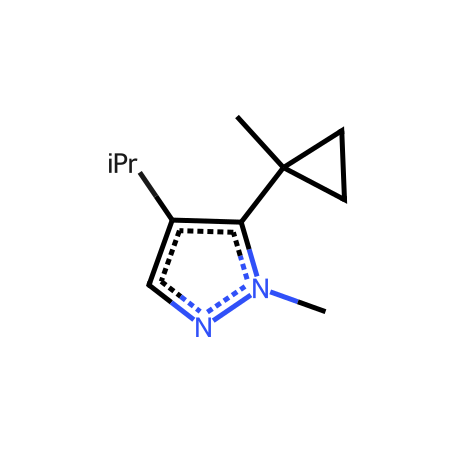 CC(C)c1cnn(C)c1C1(C)CC1